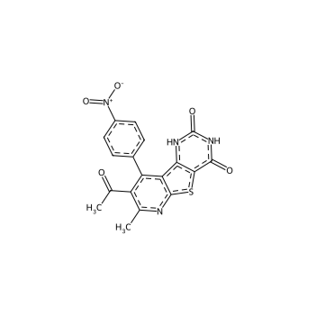 CC(=O)c1c(C)nc2sc3c(=O)[nH]c(=O)[nH]c3c2c1-c1ccc([N+](=O)[O-])cc1